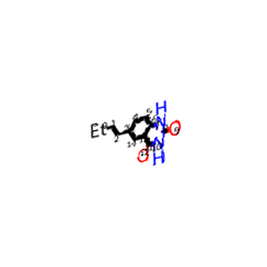 CCC=Cc1ccc2[nH]c(=O)[nH]c(=O)c2c1